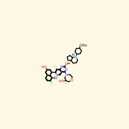 CCc1c(F)ccc2cc(O)cc(-c3ncc4c(N5CCOC[C@@](C)(O)C5)nc(OC[C@]56CCC[C@H]5N(C5CCC(OC)CC5)CCC6)nc4c3F)c12